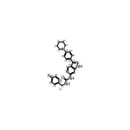 C[C@@H](NC(=O)Nc1cc2[nH]nc(-c3ccc(N4CCCCC4)cc3)c2cn1)c1ccc(F)cc1